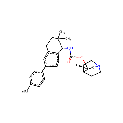 CCCCc1ccc(-c2ccc3c(c2)CCC(C)(C)[C@H]3NC(=O)O[C@@H]2CN3CCC2CC3)cc1